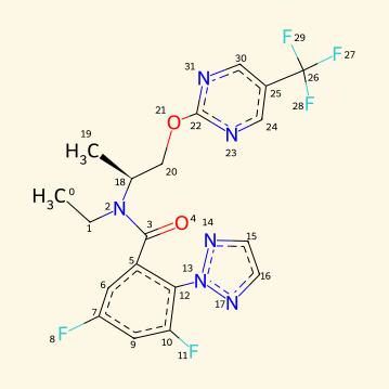 CCN(C(=O)c1cc(F)cc(F)c1-n1nccn1)[C@@H](C)COc1ncc(C(F)(F)F)cn1